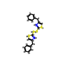 c1ccc(Cc2csc(SSc3nc(Cc4ccccc4)cs3)n2)cc1